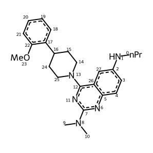 CCCNc1ccc2nc(N(C)C)nc(N3CCC(c4ccccc4OC)CC3)c2c1